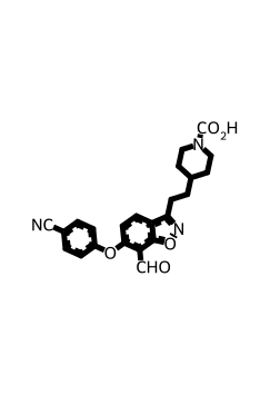 N#Cc1ccc(Oc2ccc3c(CCC4CCN(C(=O)O)CC4)noc3c2C=O)cc1